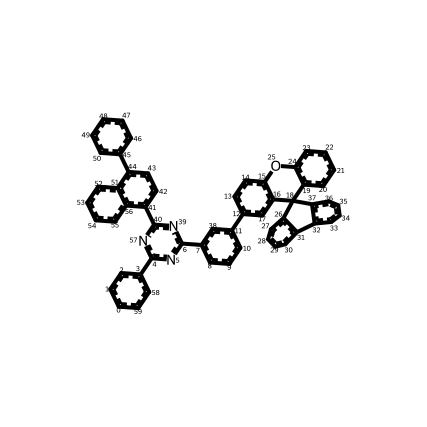 c1ccc(-c2nc(-c3cccc(-c4ccc5c(c4)C4(c6ccccc6O5)c5ccccc5-c5ccccc54)c3)nc(-c3ccc(-c4ccccc4)c4ccccc34)n2)cc1